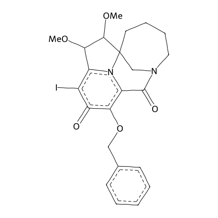 COC1c2c(I)c(=O)c(OCc3ccccc3)c3n2C2(CCCCN(C2)C3=O)C1OC